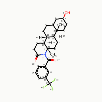 C[C@]12CC[C@H](O)CC1CC[C@@H]1[C@@H]2CC[C@@]2(C)[C@H]1CCC(=O)N2C(=O)c1cccc(C(F)(F)F)c1